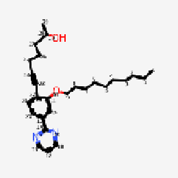 CCCCCCCCCCOc1cc(-c2ncccn2)ccc1C#CCCCC(C)O